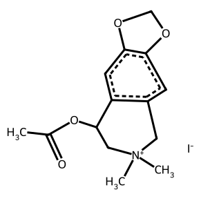 CC(=O)OC1C[N+](C)(C)Cc2cc3c(cc21)OCO3.[I-]